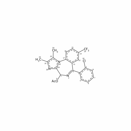 CC(=O)OC1N=C(c2ccccc2Cl)c2cc(C(F)(F)F)ccc2-n2c1nc(C)c2C